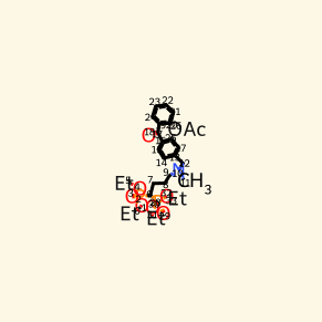 CCOP(=O)(OCC)C(CCCN(C)Cc1ccc(C(=O)c2ccccc2)c(OC(C)=O)c1)P(=O)(OCC)OCC